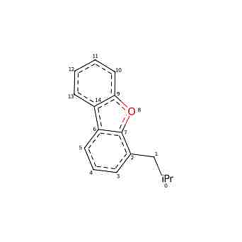 CC(C)Cc1cccc2c1oc1ccccc12